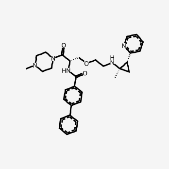 CN1CCN(C(=O)[C@H](COCCN[C@]2(C)C[C@H]2c2ccccn2)NC(=O)c2ccc(-c3ccccc3)cc2)CC1